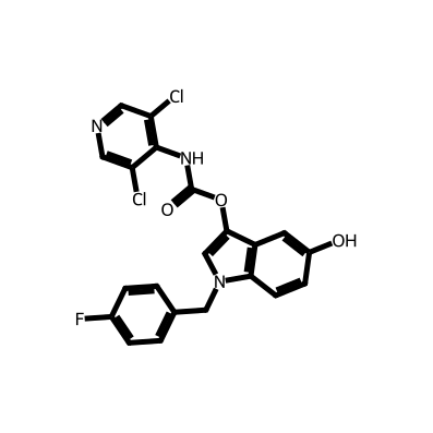 O=C(Nc1c(Cl)cncc1Cl)Oc1cn(Cc2ccc(F)cc2)c2ccc(O)cc12